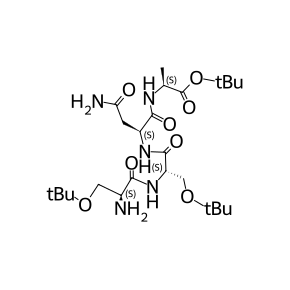 C[C@H](NC(=O)[C@H](CC(N)=O)NC(=O)[C@H](COC(C)(C)C)NC(=O)[C@@H](N)COC(C)(C)C)C(=O)OC(C)(C)C